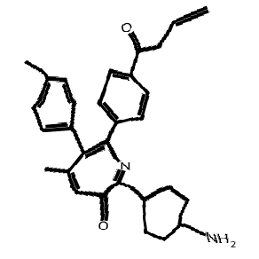 C=CCC(=O)c1ccc(-c2nc(C3CCC(N)CC3)c(=O)cc(C)c2-c2ccc(C)cc2)cc1